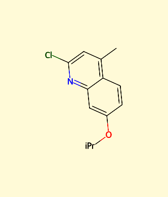 Cc1cc(Cl)nc2cc(OC(C)C)ccc12